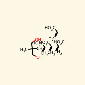 C=CC(=O)O.C=CC(=O)O.C=CC(=O)O.C=CC(=O)O.CC(C)(CO)CO